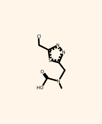 CN(Cc1nnc(CCl)s1)C(=O)O